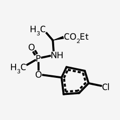 CCOC(=O)[C@H](C)NP(C)(=O)Oc1ccc(Cl)cc1